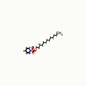 CCCCCCCCCCCCCOS(=O)(=O)[n+]1ccccc1